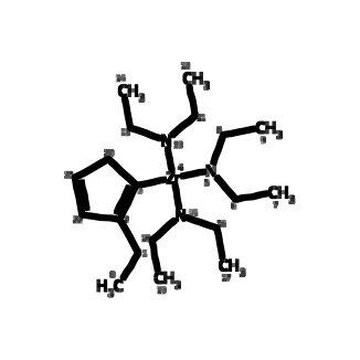 CCC1=[C]([Zr]([N](CC)CC)([N](CC)CC)[N](CC)CC)CC=C1